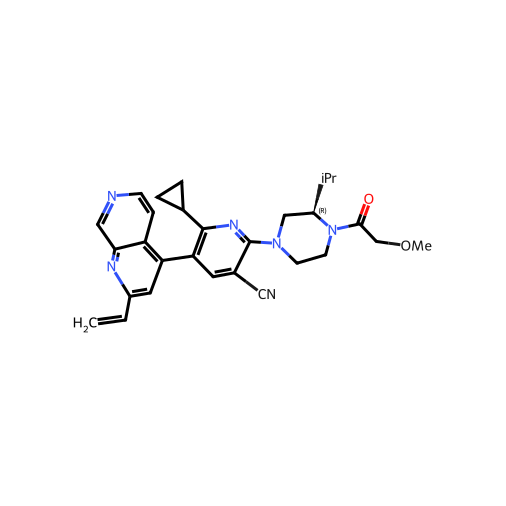 C=Cc1cc(-c2cc(C#N)c(N3CCN(C(=O)COC)[C@H](C(C)C)C3)nc2C2CC2)c2ccncc2n1